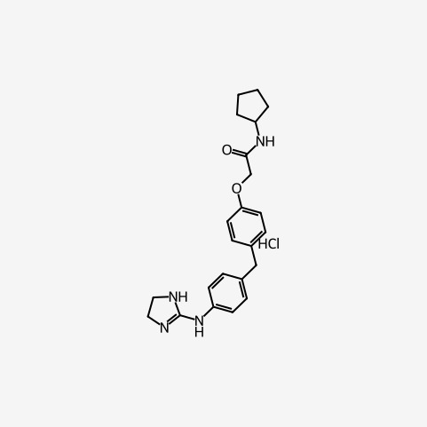 Cl.O=C(COc1ccc(Cc2ccc(NC3=NCCN3)cc2)cc1)NC1CCCC1